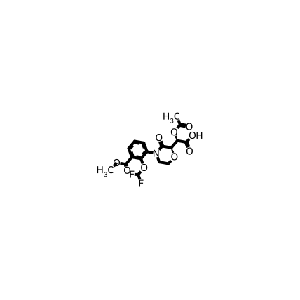 COC(=O)c1cccc(N2CCO[C@H]([C@@H](OC(C)=O)C(=O)O)C2=O)c1OC(F)F